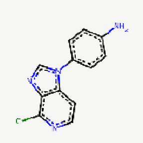 Nc1ccc(-n2cnc3c(Cl)nccc32)cc1